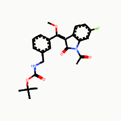 COC(=C1C(=O)N(C(C)=O)c2cc(F)ccc21)c1cccc(CNC(=O)OC(C)(C)C)c1